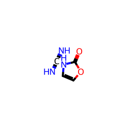 N=C=N.O=c1[nH]cco1